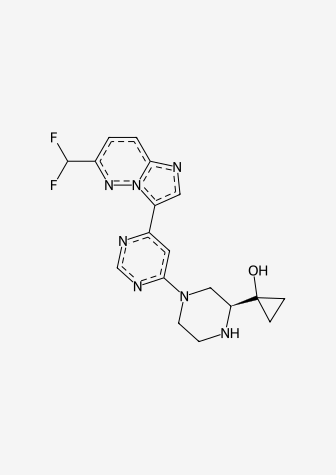 OC1([C@@H]2CN(c3cc(-c4cnc5ccc(C(F)F)nn45)ncn3)CCN2)CC1